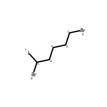 BrCCCCC(Br)I